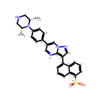 C[C@@H]1CNC[C@H](C)N1c1ccc(-c2cnc3c(-c4cccc5c(S(=O)O)cccc45)cnn3c2)cc1